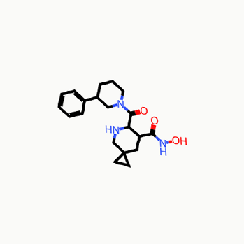 O=C(NO)C1CC2(CC2)CNC1C(=O)N1CCCC(c2ccccc2)C1